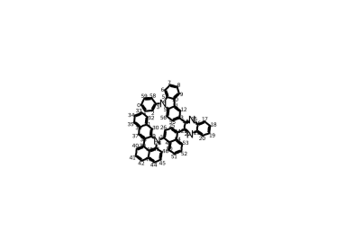 c1ccc(-n2c3ccccc3c3cc(-c4nc5ccccc5nc4-c4ccc(N5c6cc7ccccc7cc6-c6cccc7cccc5c67)c5ccccc45)ccc32)cc1